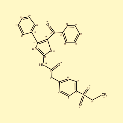 O=C(Cc1ccc(S(=O)(=O)CC(F)(F)F)cc1)Nc1nc(-c2ccccc2)c(C(=O)c2ccccc2)s1